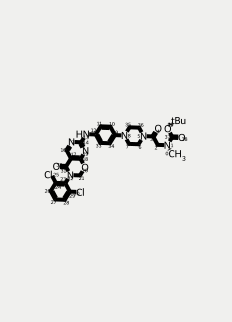 CN(CC(=O)N1CCN(c2ccc(Nc3ncc4c(n3)OCN(c3c(Cl)cccc3Cl)C4=O)cc2)CC1)C(=O)OC(C)(C)C